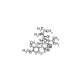 [2H]C1([2H])C2c3cc(OC)c(OC)cc3CCN2C([2H])([2H])C([2H])(CC(C)C)C1([2H])OC(=O)[C@@H](N)C(C)C